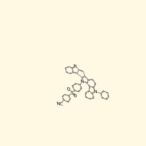 N#Cc1ccc(S(=O)(=O)c2ccc(-n3c4c(c5ccc6c(c7ccccc7n6-c6ccccc6)c53)C=C3N=c5ccccc5=C34)cc2)cc1